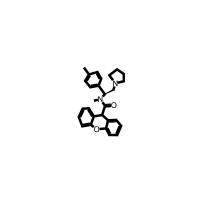 Cc1ccc([C@@H](CN2CCCC2)N(C)C(=O)C2c3ccccc3Oc3ccccc32)cc1